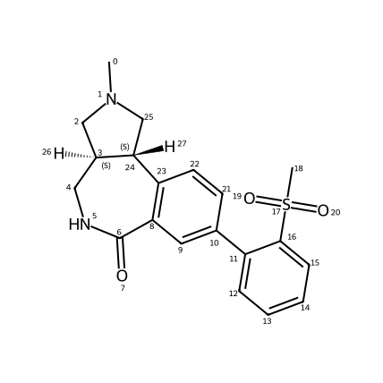 CN1C[C@@H]2CNC(=O)c3cc(-c4ccccc4S(C)(=O)=O)ccc3[C@H]2C1